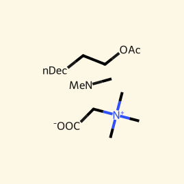 CCCCCCCCCCCCOC(C)=O.CNC.C[N+](C)(C)CC(=O)[O-]